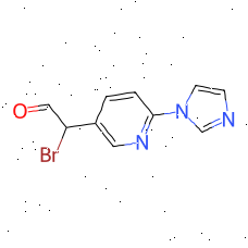 O=CC(Br)c1ccc(-n2ccnc2)nc1